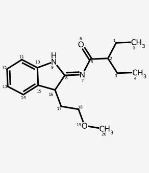 CCC(CC)C(=O)N=C1Nc2ccccc2C1CCOC